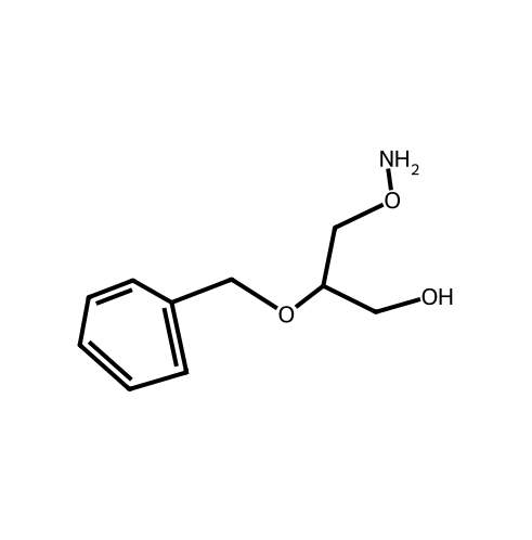 NOCC(CO)OCc1ccccc1